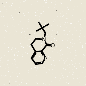 CC(C)(C)CN1CCc2cccnc2C1=O